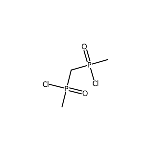 CP(=O)(Cl)CP(C)(=O)Cl